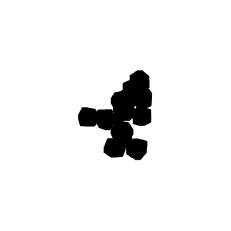 c1ccc(-c2ccc(N(c3ccc4c(c3)-c3ccccc3-c3ccccc3C43c4ccccc4-c4cc5ccccc5cc43)c3ccc4c(c3)c3ccccc3n4-c3ccccc3)cc2)cc1